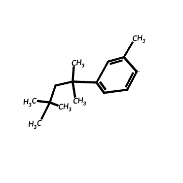 Cc1[c]ccc(C(C)(C)CC(C)(C)C)c1